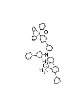 CC1(C)c2cc(-c3ccccc3)ccc2-c2ccc(N(c3ccc(-c4ccccc4)cc3)c3cccc(-c4ccc5c(c4)Oc4ccccc4C54c5ccccc5-c5ccccc54)c3)cc21